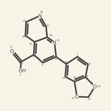 O=C(O)c1cc(-c2ccc3c(c2)OCO3)nc2cnccc12